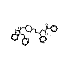 CN(CC(CCN1CCC(Nc2nc3ccccc3n2Cc2ccccn2)CC1)c1ccncc1)C(=O)c1ccccc1